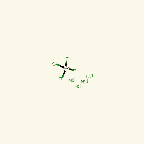 Cl.Cl.Cl.Cl.[Cl][Sn]([Cl])([Cl])[Cl]